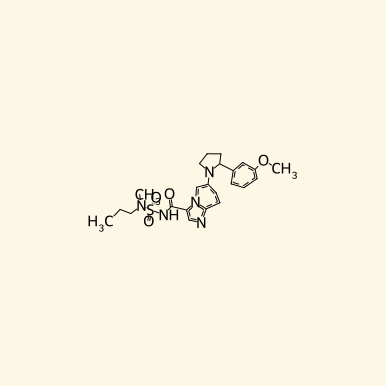 CCCN(C)S(=O)(=O)NC(=O)c1cnc2ccc(N3CCCC3c3cccc(OC)c3)cn12